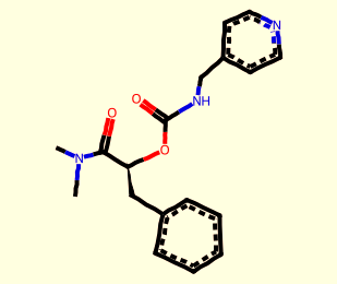 CN(C)C(=O)[C@H](Cc1ccccc1)OC(=O)NCc1ccncc1